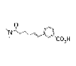 CN(C)C(=O)CCCC=Cc1cccc(C(=O)O)c1